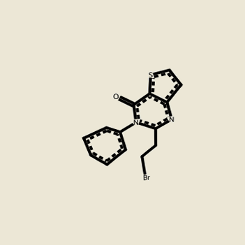 O=c1c2sccc2nc(CCBr)n1-c1ccccc1